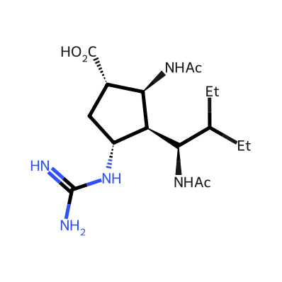 CCC(CC)[C@@H](NC(C)=O)[C@@H]1[C@H](NC(C)=O)[C@@H](C(=O)O)C[C@H]1NC(=N)N